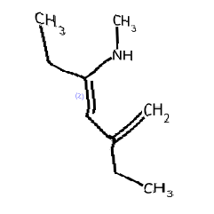 C=C(/C=C(/CC)NC)CC